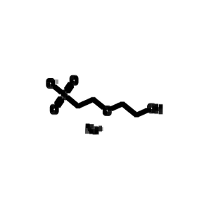 O=S(=O)([O-])CCOCCO.[Na+]